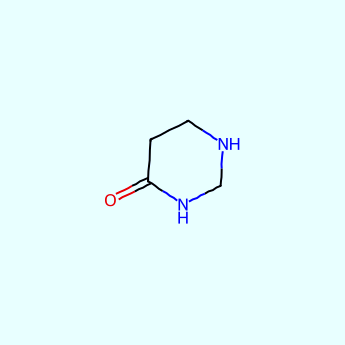 O=C1CCNCN1